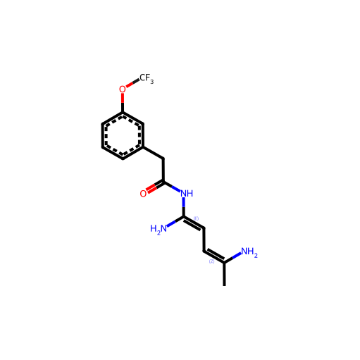 C/C(N)=C/C=C(\N)NC(=O)Cc1cccc(OC(F)(F)F)c1